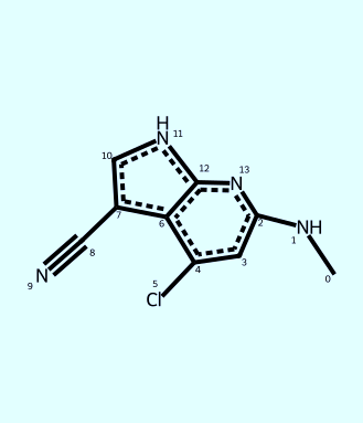 CNc1cc(Cl)c2c(C#N)c[nH]c2n1